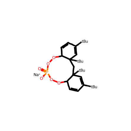 CC(C)(C)C1=CC2(C(C)(C)C)CC3(C(C)(C)C)C=C(C(C)(C)C)C=CC3OOP(=O)([O-])OOC2C=C1.[Na+]